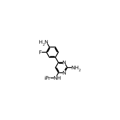 CC(C)Nc1cc(-c2ccc(N)c(F)c2)nc(N)n1